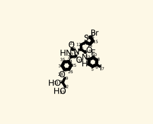 O=C(Nc1ccc(I)cc1F)C(Cc1ccc(Br)s1)N1C(=O)N[C@H](c2ccc(OC[C@H](O)CO)cc2)C1=O